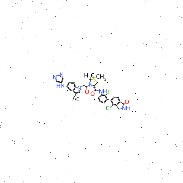 CC(=O)c1cn(CC(=O)N2CS(C)(C)C[C@H]2C(=O)Nc2cccc(-c3ccc4c(c3Cl)CNC4=O)c2F)c2ccc(Nc3cncnc3)cc12